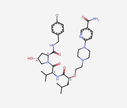 CC(C)C[C@H](OCCN1CCN(c2ccc(C(N)=O)cn2)CC1)C(=O)N[C@H](C(=O)N1C[C@H](O)C[C@H]1C(=O)NCc1ccc(Cl)cc1)C(C)C